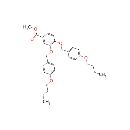 CCCCOc1ccc(COc2ccc(C(=O)OC)cc2OCc2ccc(OCCCC)cc2)cc1